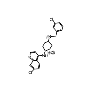 Cl.Cl.Clc1cccc(CNC2CCC(Nc3ccnc4cc(Cl)ccc34)CC2)c1